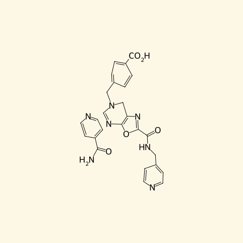 NC(=O)c1ccncc1.O=C(O)c1ccc(CN2C=Nc3oc(C(=O)NCc4ccncc4)nc3C2)cc1